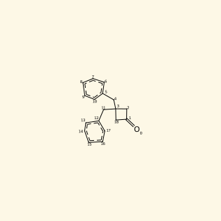 O=C1CC(Cc2ccccc2)(Cc2ccccc2)C1